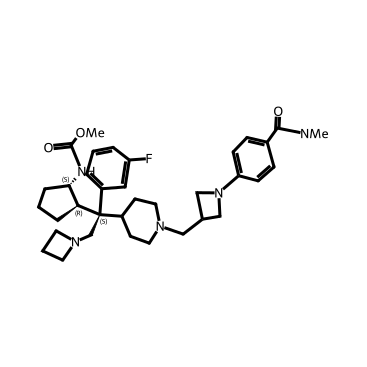 CNC(=O)c1ccc(N2CC(CN3CCC([C@@](CN4CCC4)(c4cccc(F)c4)[C@H]4CCC[C@@H]4NC(=O)OC)CC3)C2)cc1